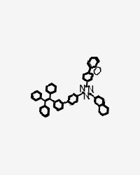 c1ccc(C(=C(c2ccccc2)c2cccc(-c3ccc(-c4nc(-c5ccc6ccccc6c5)nc(-c5ccc6c(c5)oc5ccccc56)n4)cc3)c2)c2ccccc2)cc1